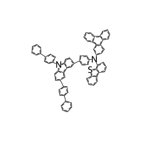 c1ccc(-c2ccc(-c3ccc4c(c3)c3cc(-c5ccc(N(c6ccc7c8ccccc8c8ccccc8c7c6)c6cccc7c6sc6ccccc67)cc5)ccc3n4-c3ccc(-c4ccccc4)cc3)cc2)cc1